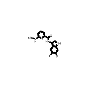 CCCCNc1cccc(C(=O)Nc2c[nH]c3cc(F)c(F)cc23)n1